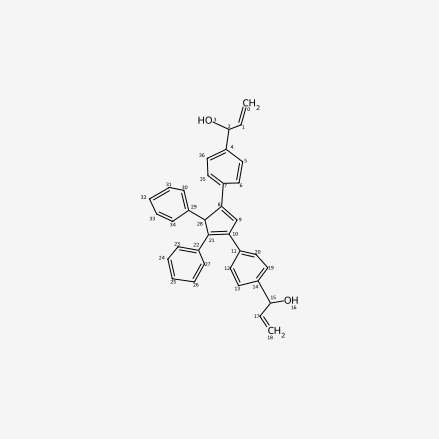 C=CC(O)c1ccc(C2=CC(c3ccc(C(O)C=C)cc3)=C(c3ccccc3)C2c2ccccc2)cc1